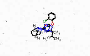 Cc1cc(N2C[C@H]3CC[C@@H](C2)[C@@H]3Nc2nc(Oc3ccccc3Cl)n(CC(C)C)n2)ncn1